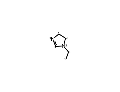 CCN1[C]CN=[C]1